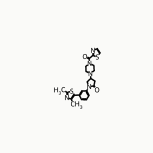 Cc1nc(C)c(-c2cccc(N3CC(N4CCN(C(=O)c5nccs5)CC4)CC3=O)c2)s1